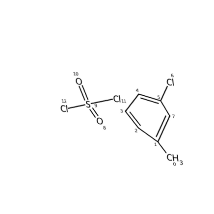 Cc1cccc(Cl)c1.O=S(=O)(Cl)Cl